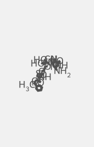 C[C@H](OC(=O)[C@@H]1CS[P@](=O)(OCCO[C@@H](n2cnc3c(=O)[nH]c(N)nc32)[C@](C)(O)CO)N1)c1ccccc1